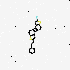 Fc1cc2c3c(ccc2s1)-c1c-3ccc2sc(CCc3ccccc3)cc12